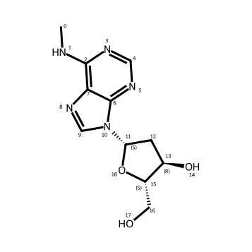 CNc1ncnc2c1ncn2[C@@H]1C[C@@H](O)[C@H](CO)O1